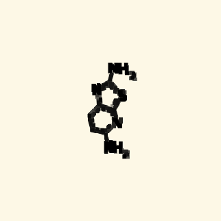 Nc1ccc2nc(N)sc2n1